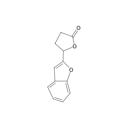 O=C1CCC(c2cc3ccccc3o2)O1